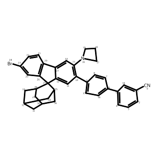 N#Cc1cccc(-c2ccc(-c3cc4c(cc3N3CCC3)-c3ccc(Br)cc3C43C4CC5CC(C4)CC3C5)cc2)c1